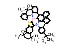 CC(C)(C)c1ccc(N2c3cc4ccccc4c4c3B(c3sc5cc6c(cc5c32)C(C)(C)CCC6(C)C)N2c3ccccc3C(C)(C)c3cccc-4c32)c(-c2ccccc2)c1